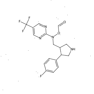 O=CON(CC1CNCC1c1ccc(F)cc1)c1ncc(C(F)(F)F)cn1